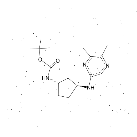 Cc1ncc(N[C@H]2CC[C@H](NC(=O)OC(C)(C)C)C2)nc1C